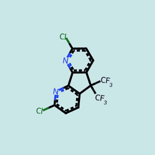 FC(F)(F)C1(C(F)(F)F)c2ccc(Cl)nc2-c2nc(Cl)ccc21